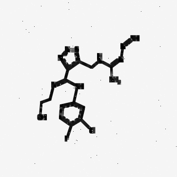 N=N/N=C(/N)NCc1snnc1/C(=N/CCO)Nc1ccc(F)c(Cl)c1